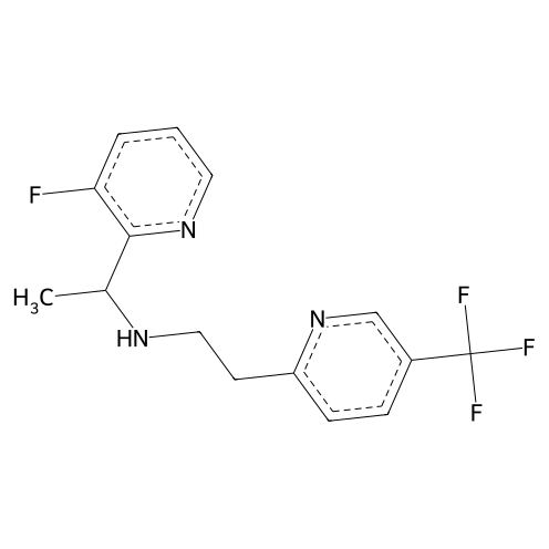 CC(NCCc1ccc(C(F)(F)F)cn1)c1ncccc1F